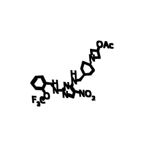 CC(=O)OC1CN([C@H]2CC[C@H](CNc3nc(NCc4ccccc4OC(F)(F)F)ncc3[N+](=O)[O-])CC2)C1